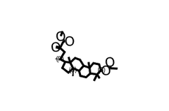 COC(=O)C(=O)C[C@@H](C)C1CC[C@@]2(C)C3CCC4C(C)(CC[C@H](OC(C)=O)C4(C)C)C3CCC12C